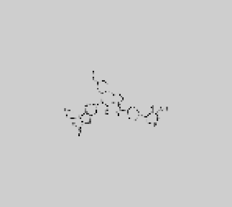 COC1CCC([C@@H]2CCN(C(=O)C3CCC([C@@H](CF)NC(=O)O)CC3)[C@@H]2C(=O)Nc2ccc3c(c2)cc2n3C(CF)(CF)OC2=O)CC1